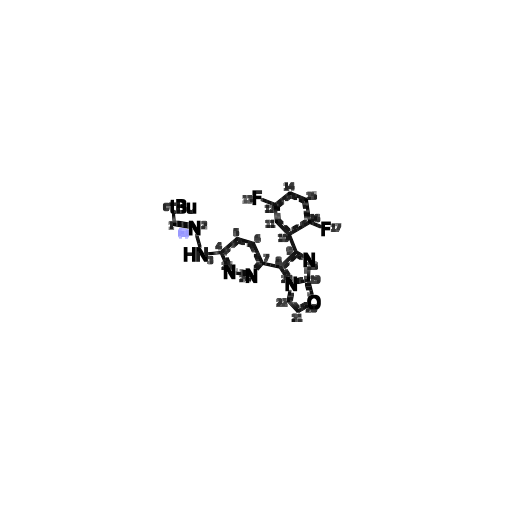 CC(C)(C)/C=N/Nc1ccc(-c2c(-c3cc(F)ccc3F)nc3occn23)nn1